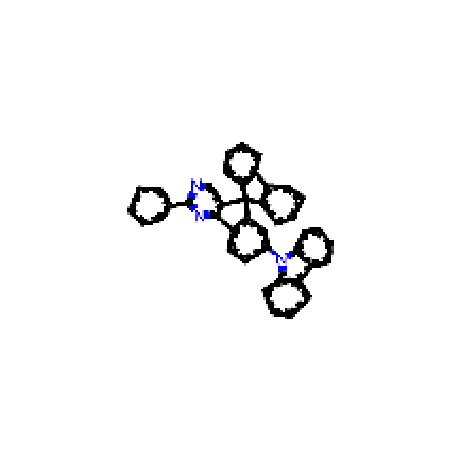 c1ccc(-c2ncc3c(n2)-c2ccc(-n4c5ccccc5c5ccccc54)cc2C32c3ccccc3-c3ccccc32)cc1